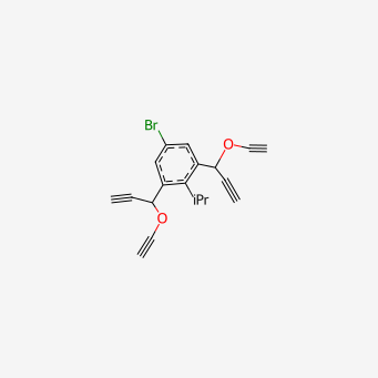 C#COC(C#C)c1cc(Br)cc(C(C#C)OC#C)c1C(C)C